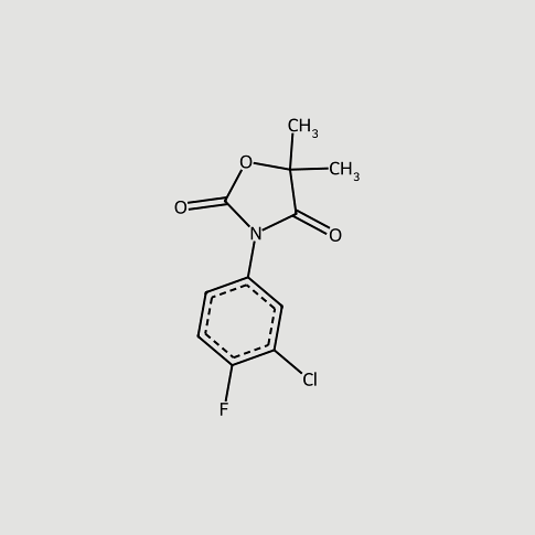 CC1(C)OC(=O)N(c2ccc(F)c(Cl)c2)C1=O